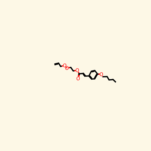 C=CCOOCCOC(=O)C=Cc1ccc(OCCCCC)cc1